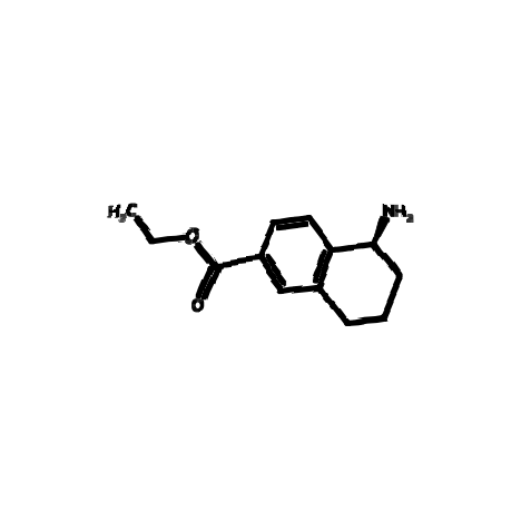 CCOC(=O)c1ccc2c(c1)CCC[C@@H]2N